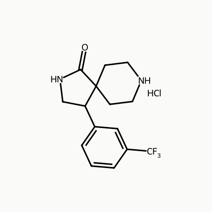 Cl.O=C1NCC(c2cccc(C(F)(F)F)c2)C12CCNCC2